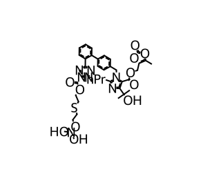 CCCc1nc(C(C)(C)O)c(C(=O)OCc2oc(=O)oc2C)n1Cc1ccc(-c2ccccc2-c2nnn(C(=O)OCCSCCON(O)O)n2)cc1